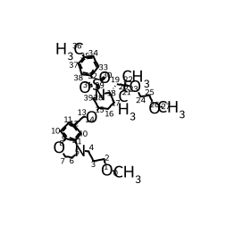 COCCCN1CCOc2ccc(CO[C@@H]3CC[C@@H](CC(C)(C)OCCOC)N(S(=O)(=O)c4ccc(C)cc4)C3)cc21